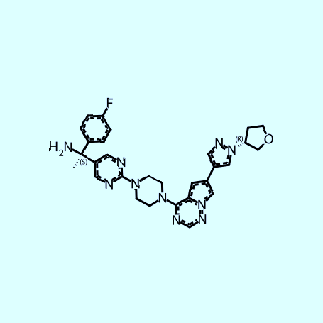 C[C@](N)(c1ccc(F)cc1)c1cnc(N2CCN(c3ncnn4cc(-c5cnn([C@@H]6CCOC6)c5)cc34)CC2)nc1